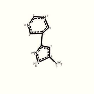 Nc1cc(-c2cncnc2)n[nH]1